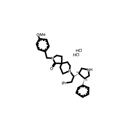 COc1ccc(CN2CCC3(CCN(C(CC(C)C)[C@@H]4CNC[C@@H]4c4ccccc4)CC3)C2=O)cc1.Cl.Cl